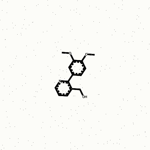 COc1ccc(-c2ncccc2CO)cc1OC